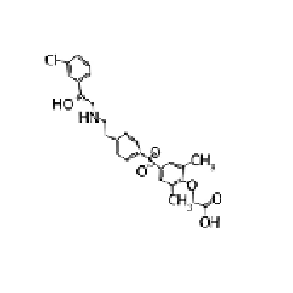 Cc1cc(S(=O)(=O)c2ccc(CCNC[C@H](O)c3cccc(Cl)c3)cc2)cc(C)c1OCC(=O)O